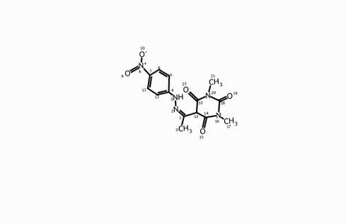 CC(=NNc1ccc([N+](=O)[O-])cc1)C1C(=O)N(C)C(=O)N(C)C1=O